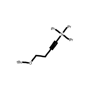 CC(C)[Si](C#CCCOC(C)(C)C)(C(C)C)C(C)C